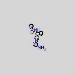 Nc1ccnc(N2CCC3(CC2)CC(NC(=O)c2ccccn2)c2ccccc23)c1